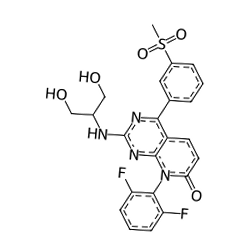 CS(=O)(=O)c1cccc(-c2nc(NC(CO)CO)nc3c2ccc(=O)n3-c2c(F)cccc2F)c1